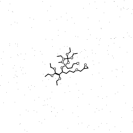 CCOC(OCC)=C(OCC)C(CCCOCC1CO1)O[Si](CCCCl)(OC)OC(OCC)(OCC)OCC